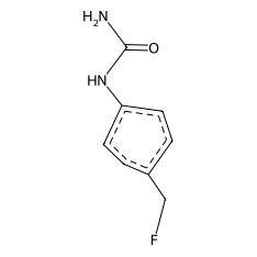 NC(=O)Nc1ccc(CF)cc1